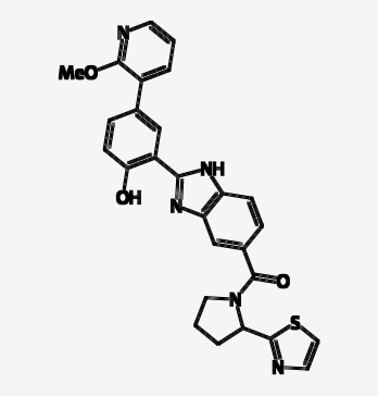 COc1ncccc1-c1ccc(O)c(-c2nc3cc(C(=O)N4CCCC4c4nccs4)ccc3[nH]2)c1